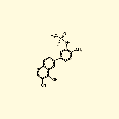 Cc1ncc(-c2ccc3ncc(C#N)c(O)c3c2)cc1NS(C)(=O)=O